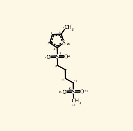 Cc1ccc(S(=O)(=O)CCCCS(C)(=O)=O)s1